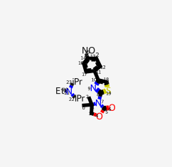 CC1(C)COC(=O)N1c1nc(-c2ccc([N+](=O)[O-])cc2)cs1.CCN(C(C)C)C(C)C